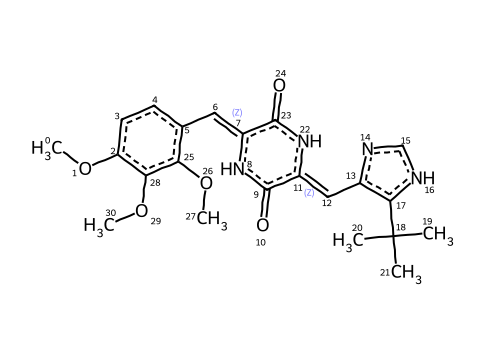 COc1ccc(/C=c2\[nH]c(=O)/c(=C/c3nc[nH]c3C(C)(C)C)[nH]c2=O)c(OC)c1OC